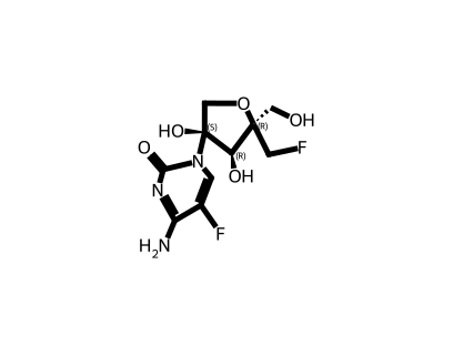 Nc1nc(=O)n([C@]2(O)CO[C@@](CO)(CF)[C@H]2O)cc1F